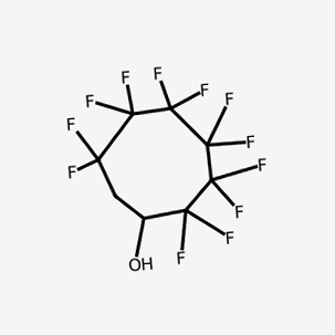 OC1CC(F)(F)C(F)(F)C(F)(F)C(F)(F)C(F)(F)C1(F)F